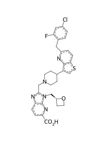 O=C(O)c1ccc2nc(CN3CCC(c4csc5ccc(Cc6ccc(Cl)cc6F)nc45)CC3)n(C[C@@H]3CCO3)c2n1